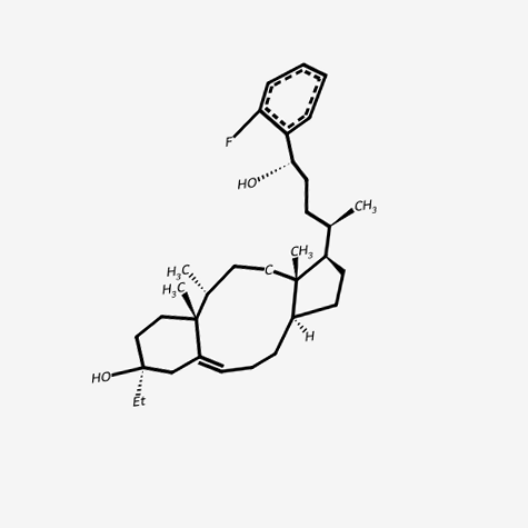 CC[C@]1(O)CC[C@@]2(C)/C(=C\CC[C@@H]3CC[C@H]([C@H](C)CC[C@H](O)c4ccccc4F)[C@@]3(C)CC[C@H]2C)C1